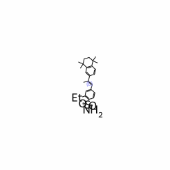 CCc1cc(/C=C(\C)c2ccc3c(c2)C(C)(C)CCC3(C)C)ccc1S(N)(=O)=O